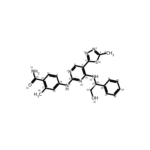 Cc1nnc(-c2cnc(Nc3ccc(C(N)=O)c(C)c3)nc2N[C@H](CO)c2ccccc2)s1